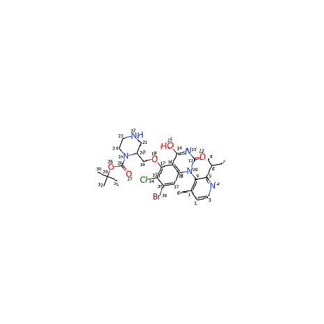 Cc1ccnc(C(C)C)c1-n1c(=O)nc(O)c2c(OCC3CNCCN3C(=O)OC(C)(C)C)c(Cl)c(Br)cc21